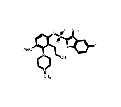 COc1ccc(NS(=O)(=O)c2sc3ccc(Cl)cc3c2C)c(CCO)c1N1CCN(C)CC1